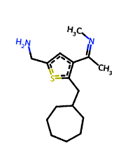 C/N=C(/C)c1cc(CN)sc1CC1CCCCCC1